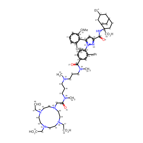 CCC1CC2CCC(NC(=O)c3cc(-c4c(OC)cccc4OC)n(-c4ccc(C(=O)N(C)CCCN(C)CCCN(C)C(=O)CN5CCN(CC=O)CCN(CC(=O)O)CCN(CC(=O)O)CC5)cc4C(C)C)n3)(C(=O)O)C(C1)C2